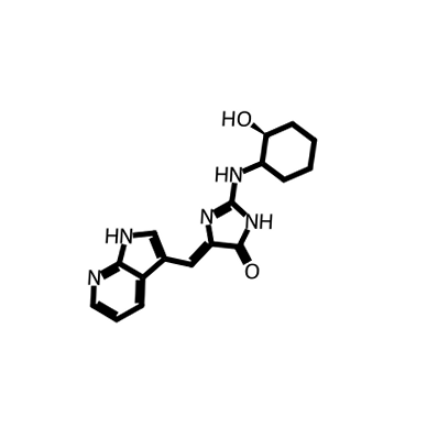 O=C1NC(NC2CCCC[C@@H]2O)=N/C1=C\c1c[nH]c2ncccc12